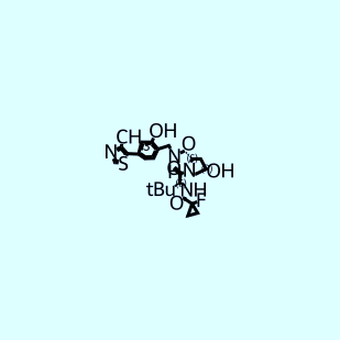 Cc1ncsc1-c1ccc(CNC(=O)[C@@H]2C[C@@H](O)CN2C(=O)[C@@H](NC(=O)C2(F)CC2)C(C)(C)C)c(O)c1